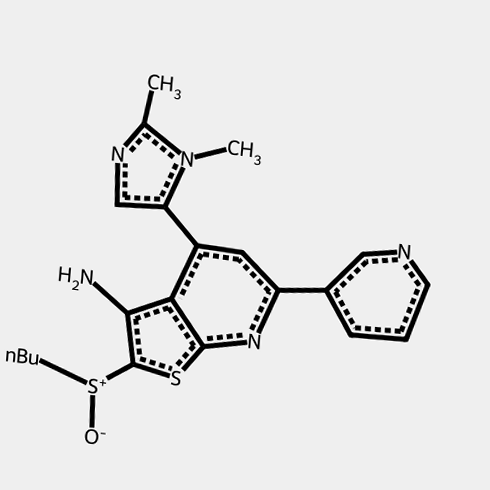 CCCC[S+]([O-])c1sc2nc(-c3cccnc3)cc(-c3cnc(C)n3C)c2c1N